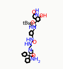 CC(C)(C)[Si](C)(C)O[C@H](CNCc1cccc(CNC(=O)NCCN2CC[C@@H](C(C(N)=O)(c3ccccc3)c3ccccc3)C2)c1)c1ccc(O)c2[nH]c(=O)ccc12